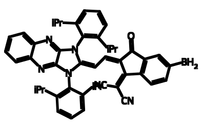 Bc1ccc2c(c1)C(=O)/C(=C/C=C1N(c3c(C(C)C)cccc3C(C)C)c3nc4ccccc4nc3N1c1c(C(C)C)cccc1C(C)C)C2=C(C#N)C#N